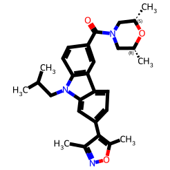 Cc1noc(C)c1-c1ccc2c3cc(C(=O)N4C[C@@H](C)O[C@@H](C)C4)ccc3n(CC(C)C)c2c1